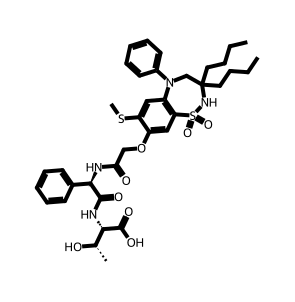 CCCCC1(CCCC)CN(c2ccccc2)c2cc(SC)c(OCC(=O)N[C@@H](C(=O)N[C@H](C(=O)O)[C@H](C)O)c3ccccc3)cc2S(=O)(=O)N1